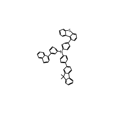 CC1(C)c2ccccc2-c2ccc(-c3ccc(N(c4ccc(-c5cccc6sc7ccccc7c56)cc4)c4cccc(-c5cccc6ccccc56)c4)cc3)cc21